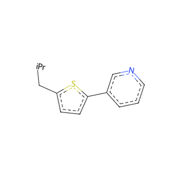 CC(C)Cc1ccc(-c2cccnc2)s1